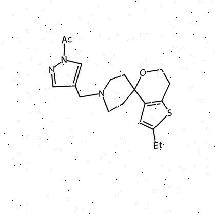 CCc1cc2c(s1)CCOC21CCN(Cc2cnn(C(C)=O)c2)CC1